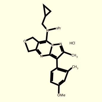 CCCN(CC1CC1)c1c2c(nc3c(-c4ccc(OC)cc4C)c(C)nn13)COC2.Cl